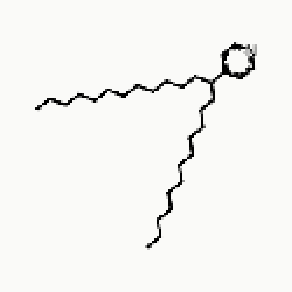 CCCCCCCCCCCCC(CCCCCCCCCCCC)c1ccncc1